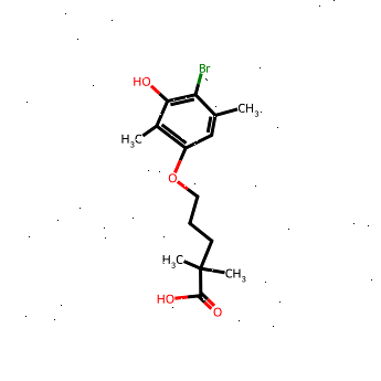 Cc1cc(OCCCC(C)(C)C(=O)O)c(C)c(O)c1Br